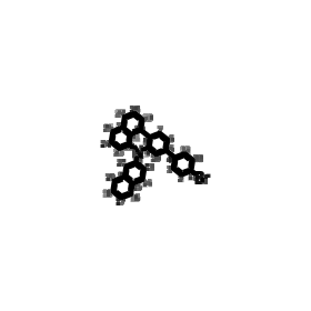 Brc1ccc(-c2ccc3c(c2)N(c2ccc4ccccc4c2)c2cccc4cccc-3c24)cc1